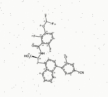 N#Cc1ccc(-c2ccc(C[C@H](NC(=O)c3c(F)ccc(OC(F)F)c3F)C(=O)O)c3cccnc23)c(Cl)c1